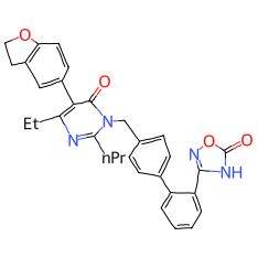 CCCc1nc(CC)c(-c2ccc3c(c2)CCO3)c(=O)n1Cc1ccc(-c2ccccc2-c2noc(=O)[nH]2)cc1